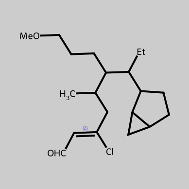 CCC(C(CCCOC)C(C)C/C(Cl)=C/C=O)C1CCC2CC21